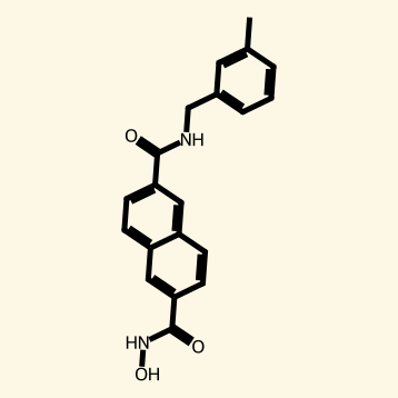 Cc1cccc(CNC(=O)c2ccc3cc(C(=O)NO)ccc3c2)c1